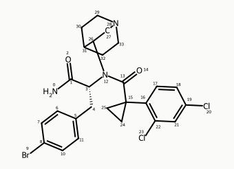 NC(=O)[C@@H](Cc1ccc(Br)cc1)N(C(=O)C1(c2ccc(Cl)cc2Cl)CC1)C1CN2CCC1CC2